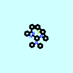 c1ccc(-c2nc(-c3cc(N(c4ccccc4)c4ccccc4)cc(-n4c5ccccc5c5ccc6c7ccccc7sc6c54)c3)nc3ccccc23)cc1